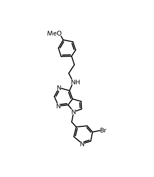 COc1ccc(CCNc2ncnc3c2ccn3Cc2cncc(Br)c2)cc1